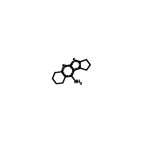 Nc1c2c(nc3sc4c(c13)CCC4)CCCC2